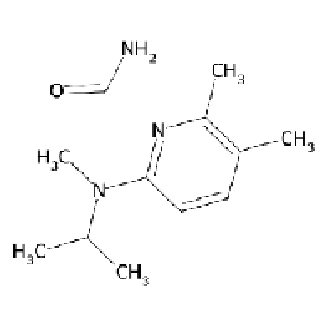 Cc1ccc(N(C)C(C)C)nc1C.NC=O